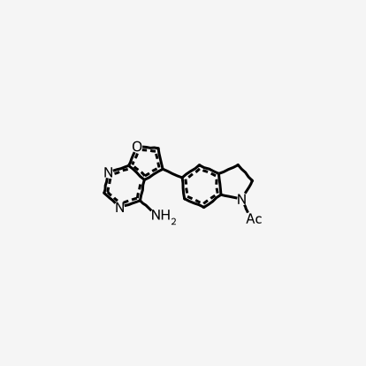 CC(=O)N1CCc2cc(-c3coc4ncnc(N)c34)ccc21